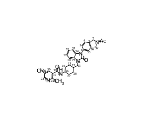 CC(=O)N1Cc2ccc(-n3c(=O)n(CC4CCC(NC(=O)c5cc(Cl)cnc5C)CC4)c4ccccc43)cc2C1